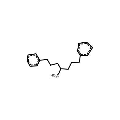 O=C(O)C(CCCc1ccccc1)CCCc1ccccc1